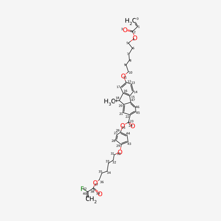 C=CC(=O)OCCCCCCOc1ccc2c(c1)C(C)c1cc(C(=O)Oc3ccc(OCCCCCCOC(=O)C(=C)F)cc3)ccc1-2